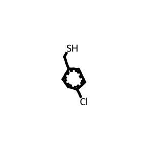 SCc1ccc(Cl)cc1